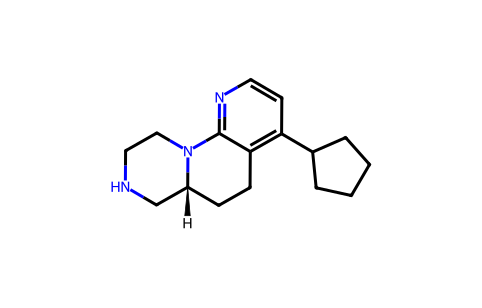 c1cc(C2CCCC2)c2c(n1)N1CCNC[C@H]1CC2